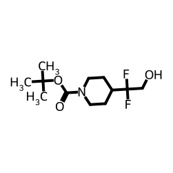 CC(C)(C)OC(=O)N1CCC(C(F)(F)CO)CC1